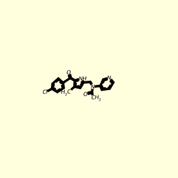 CC(=O)N(Cc1cc(C)c(C(=O)c2ccc(Cl)cc2)[nH]1)c1cccnc1